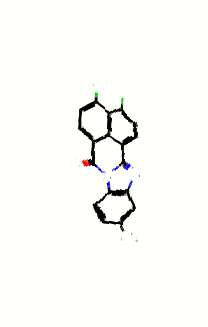 N#Cc1ccc2c(c1)nc1c3ccc(Cl)c4c(Cl)ccc(c(=O)n21)c43